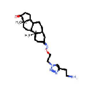 C[C@]12CCC(=NOCCn3cc(CCN)nn3)CC1CCC1C2CC[C@]2(C)C(=O)CCC12